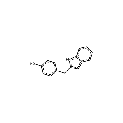 Oc1ccc([CH]c2cc3ccccc3[nH]2)cc1